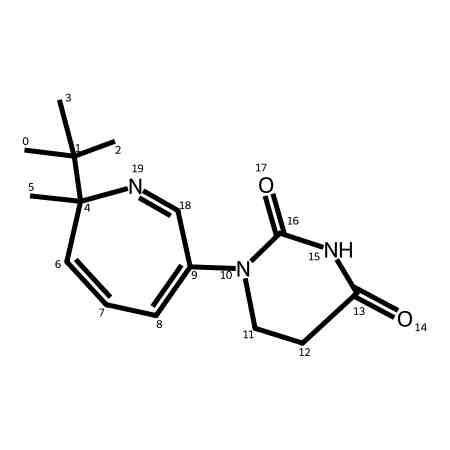 CC(C)(C)C1(C)C=CC=C(N2CCC(=O)NC2=O)C=N1